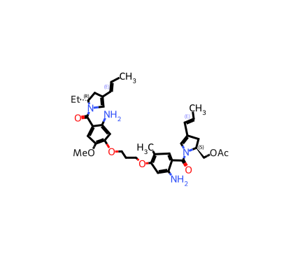 C/C=C/C1=CN(C(=O)c2cc(OC)c(OCCCOc3cc(N)c(C(=O)N4C=C(/C=C/C)C[C@H]4COC(C)=O)cc3C)cc2N)[C@H](CC)C1